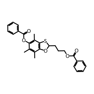 Cc1c(C)c2c(c(C)c1OC(=O)c1ccccc1)SC(CCCOC(=O)c1ccccc1)O2